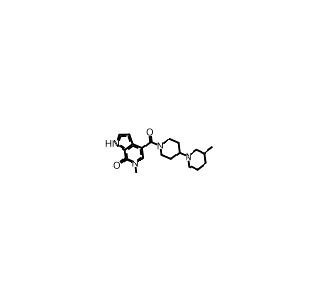 CC1CCCN(C2CCN(C(=O)c3cn(C)c(=O)c4[nH]ccc34)CC2)C1